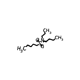 CCCCCS(=O)(=O)N(CCC)CCCC